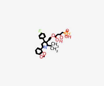 CC(C)c1nc(-c2cccc3c2OCO3)cc(-c2ccc(F)cc2)c1C#COC(=O)CC(O)C[PH](=O)O